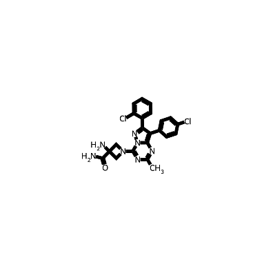 Cc1nc(N2CC(N)(C(N)=O)C2)n2nc(-c3ccccc3Cl)c(-c3ccc(Cl)cc3)c2n1